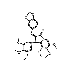 COc1cc(C2/C(=C/c3ccc4c(c3)OCO4)C(=O)c3cc(OC)c(OC)c(OC)c32)cc(OC)c1OC